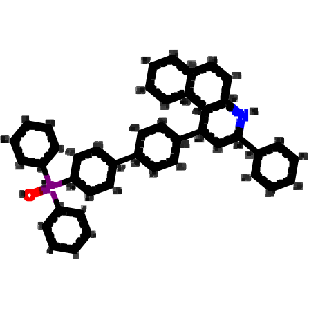 O=P(c1ccccc1)(c1ccccc1)c1ccc(-c2ccc(-c3cc(-c4ccccc4)nc4ccc5ccccc5c34)cc2)cc1